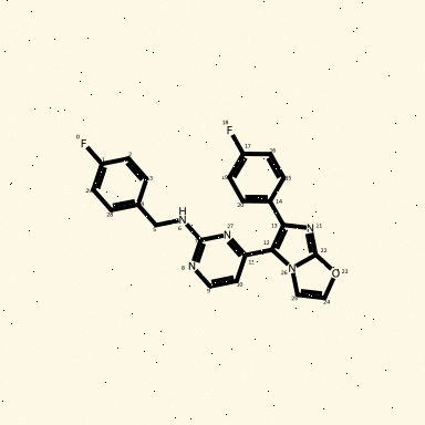 Fc1ccc(CNc2nccc(-c3c(-c4ccc(F)cc4)nc4occn34)n2)cc1